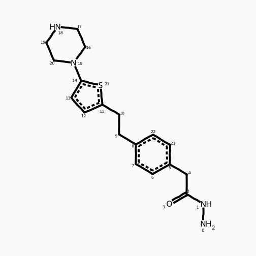 NNC(=O)Cc1ccc(CCc2ccc(N3CCNCC3)s2)cc1